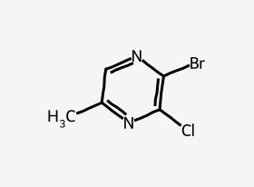 Cc1cnc(Br)c(Cl)n1